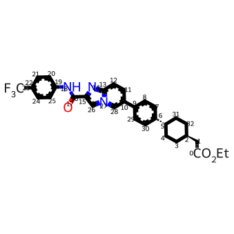 CCOC(=O)C[C@H]1CC[C@H](c2ccc(-c3ccc4nc(C(=O)Nc5ccc(C(F)(F)F)cc5)cn4c3)cc2)CC1